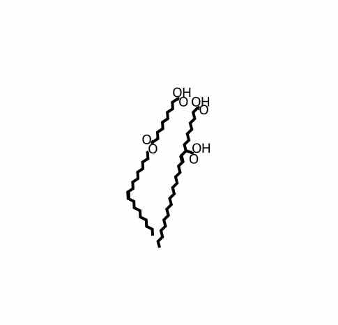 CCCCCCCC/C=C\CCCCCCCCOC(=O)CCCCCCCCC(=O)O.CCCCCCCCCCCCCCCCC=CC(CCCCCCCC(=O)O)C(=O)O